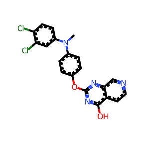 CN(c1ccc(Oc2nc(O)c3ccncc3n2)cc1)c1ccc(Cl)c(Cl)c1